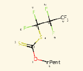 CCCCCOC(=S)SC(F)(F)C(F)(F)C(F)(F)F